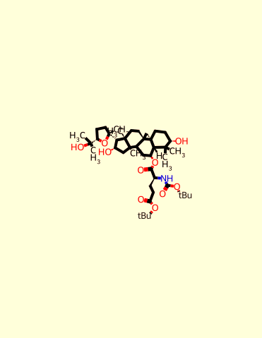 CC(C)(C)OC(=O)CC[C@H](NC(=O)OC(C)(C)C)C(=O)O[C@H]1CC2[C@]3(CC[C@]4(C)[C@@H]([C@@]5(C)CC[C@@H](C(C)(C)O)O5)[C@@H](O)C[C@@]24C)C[C@@]32CC[C@H](O)C(C)(C)[C@H]12